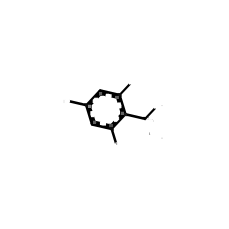 O=C[C@@H](Br)c1c(F)cc(Br)cc1F